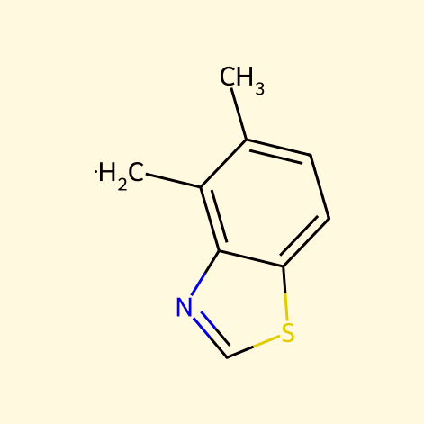 [CH2]c1c(C)ccc2scnc12